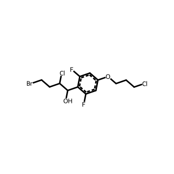 OC(c1c(F)cc(OCCCCl)cc1F)C(Cl)CCBr